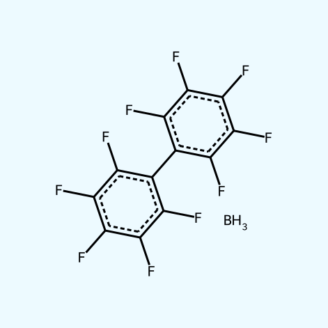 B.Fc1c(F)c(F)c(-c2c(F)c(F)c(F)c(F)c2F)c(F)c1F